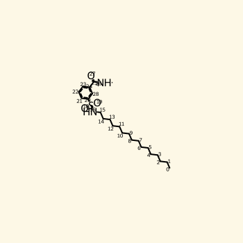 CCCCCCCCCCCCCCCCNS(=O)(=O)c1cccc(C([NH])=O)c1